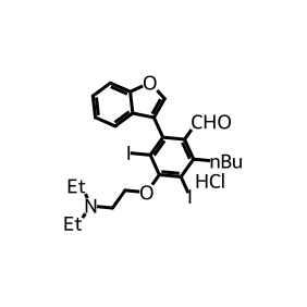 CCCCc1c(I)c(OCCN(CC)CC)c(I)c(-c2coc3ccccc23)c1C=O.Cl